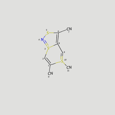 N#CC1=CS2=NSC(C#N)=C2C=S1C#N